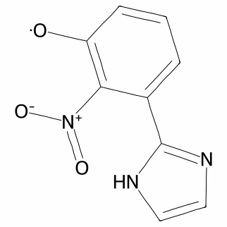 [O]c1cccc(-c2ncc[nH]2)c1[N+](=O)[O-]